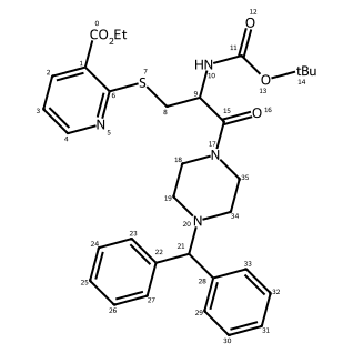 CCOC(=O)c1cccnc1SCC(NC(=O)OC(C)(C)C)C(=O)N1CCN(C(c2ccccc2)c2ccccc2)CC1